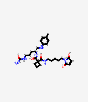 [CH2]c1ccc(NC[C@H](CCCNC(N)=O)NC(=O)C2(C(=O)NCCCCCN3C(=O)C=CC3=O)CCC2)cc1